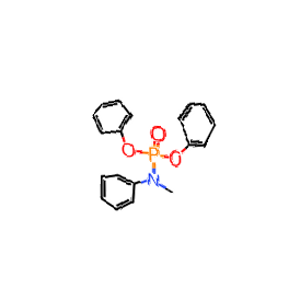 CN(c1ccccc1)P(=O)(Oc1ccccc1)Oc1ccccc1